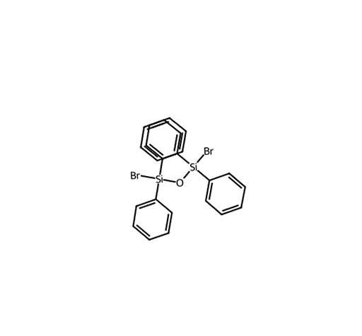 Br[Si](O[Si](Br)(c1ccccc1)c1ccccc1)(c1ccccc1)c1ccccc1